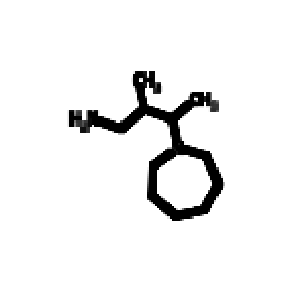 CC(CN)C(C)N1CCCCCC1